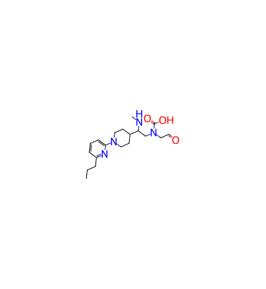 CCCc1cccc(N2CCC(C(CN(CC=O)C(=O)O)NC)CC2)n1